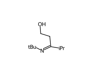 CC(C)C(CCO)=NC(C)(C)C